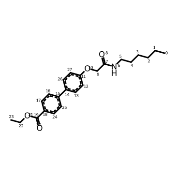 CCCCCCNC(=O)COc1ccc(-c2ccc(C(=O)OCC)cc2)cc1